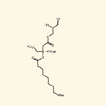 CCCCCCCCCCCCCCCCCC(=O)OC(CC(=O)O)(CC(=O)OCC(O)CO)C(=O)O